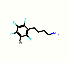 CC(C)c1c(F)c(F)c(F)c(CCCCN)c1F